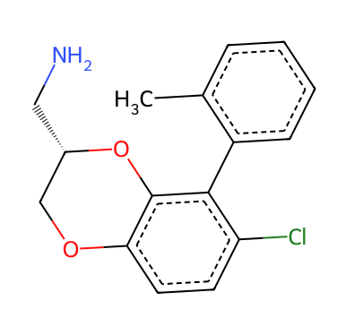 Cc1ccccc1-c1c(Cl)ccc2c1O[C@@H](CN)CO2